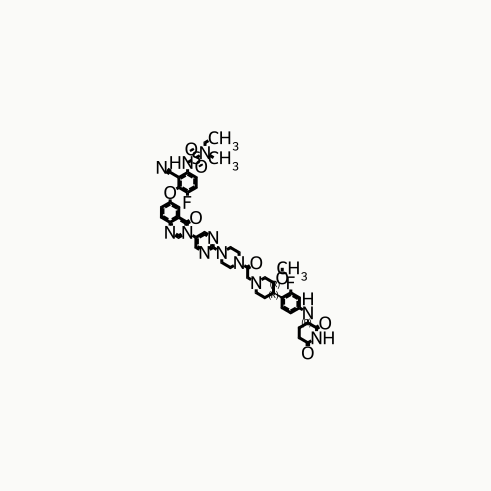 CCN(C)S(=O)(=O)Nc1ccc(F)c(Oc2ccc3ncn(-c4cnc(N5CCN(C(=O)CN6CC[C@H](c7ccc(N[C@@H]8CCC(=O)NC8=O)cc7F)[C@@H](OC)C6)CC5)nc4)c(=O)c3c2)c1C#N